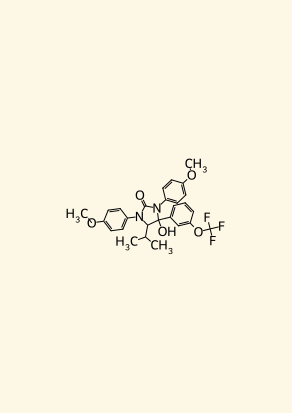 COc1ccc(N2C(=O)N(c3ccc(OC)cc3)C(O)(c3cccc(OC(F)(F)F)c3)C2C(C)C)cc1